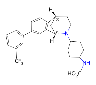 O=C(O)NC1CCC(N2CC[C@@H]3C[C@H]2c2cc(-c4cccc(C(F)(F)F)c4)ccc23)CC1